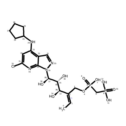 C/C=C(/COP(=O)(O)CP(=O)(O)O)[C@@H](O)[C@@H](O)[C@@H](O)n1ncc2c(NC3CCCC3)cc(Cl)nc21